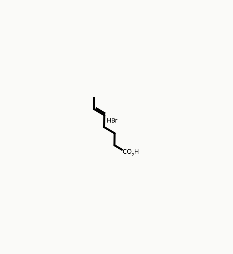 Br.CC=CCCCC(=O)O